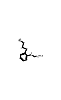 COCOc1ccccc1CCCS